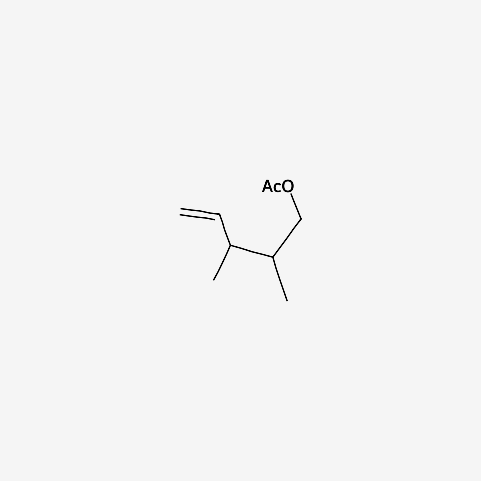 C=CC(C)C(C)COC(C)=O